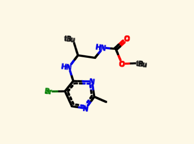 Cc1ncc(Br)c(NC(CNC(=O)OC(C)(C)C)C(C)(C)C)n1